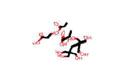 C=CC(=O)O.C=CC(=O)O.C=CC(=O)O.OCC(CO)(CO)CC(CO)(CO)CO